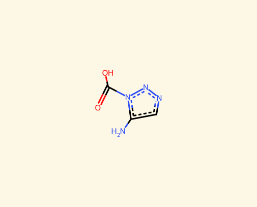 Nc1cnnn1C(=O)O